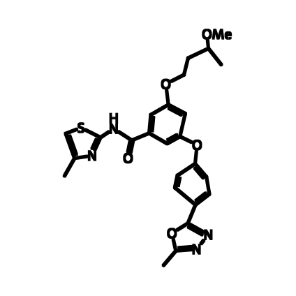 COC(C)CCOc1cc(Oc2ccc(-c3nnc(C)o3)cc2)cc(C(=O)Nc2nc(C)cs2)c1